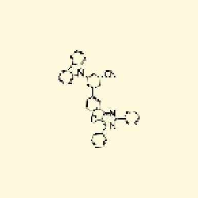 N#Cc1cc(-c2ccc3oc4c(-c5ccccc5)nc(-c5ccccc5)nc4c3c2)cc(-n2c3ccccc3c3ccccc32)c1